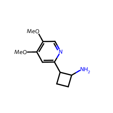 COc1cnc(C2CCC2N)cc1OC